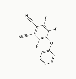 N#Cc1c(F)c(F)c(Oc2ccccc2)c(F)c1C#N